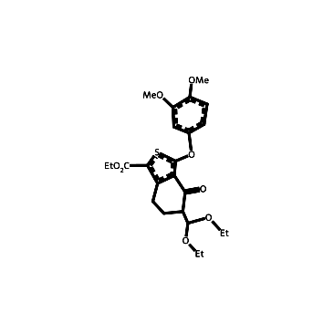 CCOC(=O)c1sc(Oc2ccc(OC)c(OC)c2)c2c1CCC(C(OCC)OCC)C2=O